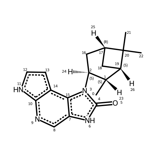 C[C@@H]1[C@@H](n2c(=O)[nH]c3cnc4[nH]ccc4c32)C[C@H]2C[C@@H]1C2(C)C